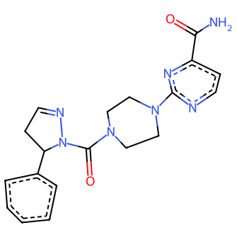 NC(=O)c1ccnc(N2CCN(C(=O)N3N=CCC3c3ccccc3)CC2)n1